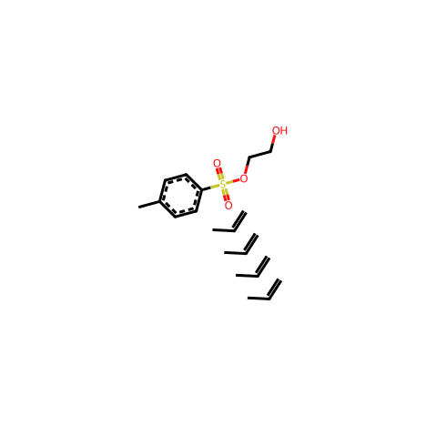 C=CC.C=CC.C=CC.C=CC.Cc1ccc(S(=O)(=O)OCCO)cc1